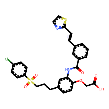 O=C(O)COc1ccc(CCCS(=O)(=O)c2ccc(Cl)cc2)cc1NC(=O)c1cccc(/C=C/c2nccs2)c1